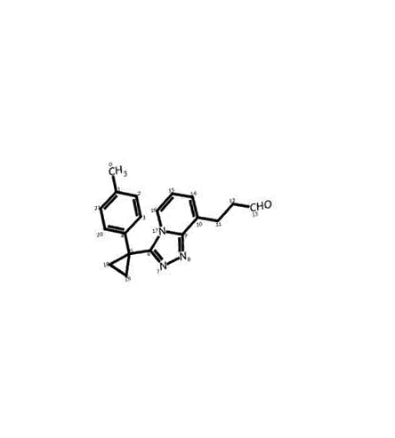 Cc1ccc(C2(c3nnc4c(CCC=O)cccn34)CC2)cc1